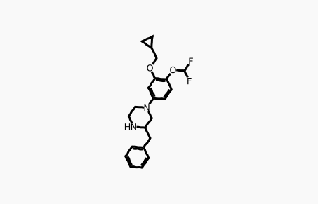 FC(F)Oc1ccc(N2CCNC(Cc3ccccc3)C2)cc1OCC1CC1